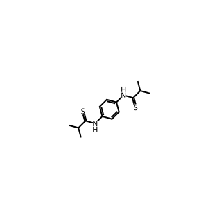 CC(C)C(=S)Nc1ccc(NC(=S)C(C)C)cc1